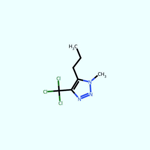 CCCc1c(C(Cl)(Cl)Cl)nnn1C